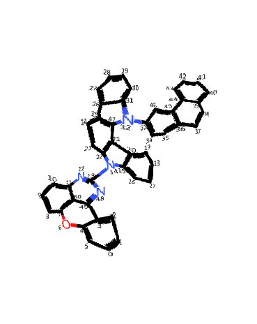 c1ccc2c(c1)Oc1cccc3nc(-n4c5ccccc5c5c4ccc4c6ccccc6n(-c6ccc7ccc8ccccc8c7c6)c45)nc-2c13